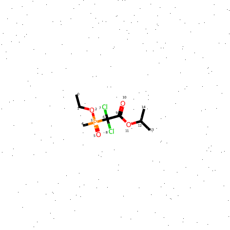 CCOP(C)(=O)C(Cl)(Cl)C(=O)OC(C)C